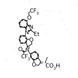 CCc1nc2c(OCC(F)(F)F)cccc2n1-c1cccc2c1OC[C@H]2N(C(=O)C(F)(F)F)c1ccc2c(c1)OC[C@H]2C(C)C(=O)O